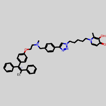 CC/C(=C(\c1ccccc1)c1ccc(OCCN(C)Cc2ccc(-c3cn(CCCCCn4ccc(=O)c(O)c4C)nn3)cc2)cc1)c1ccccc1